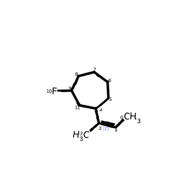 C/C=C(/C)C1CCCCC(F)C1